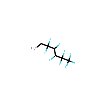 [CH2]CC(F)(F)C(F)[C@H](F)C(F)(F)C(F)(F)F